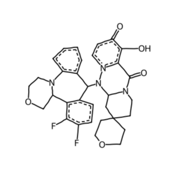 O=C1c2c(O)c(=O)ccn2N(C2c3ccccc3N3CCOCC3c3c2ccc(F)c3F)C2CC3(CCOCC3)CCN12